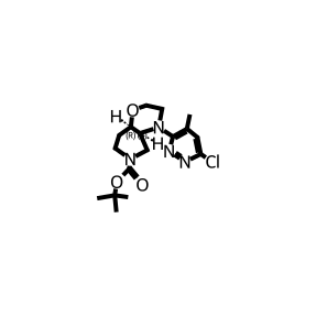 Cc1cc(Cl)nnc1N1CCO[C@@H]2CCN(C(=O)OC(C)(C)C)C[C@@H]21